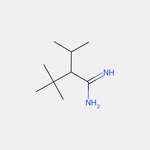 CC(C)C(C(=N)N)C(C)(C)C